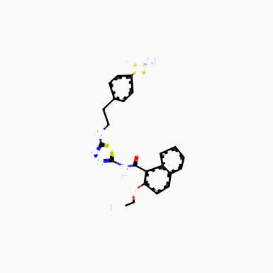 CCOc1ccc2ccccc2c1C(=O)Nc1nnc(NCCc2ccc(S(N)(=O)=O)cc2)s1